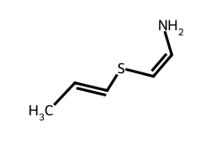 C/C=C/S/C=C\N